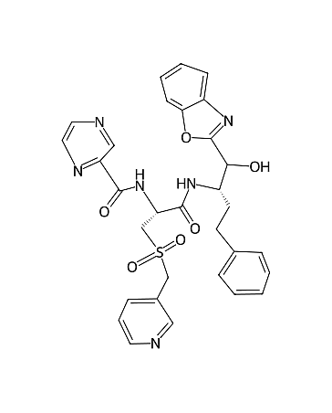 O=C(N[C@@H](CS(=O)(=O)Cc1cccnc1)C(=O)N[C@@H](CCc1ccccc1)C(O)c1nc2ccccc2o1)c1cnccn1